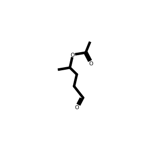 CC(=O)OC(C)CCC=O